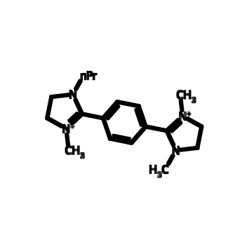 CCCN1CC[N+](C)=C1c1ccc(C2=[N+](C)CCN2C)cc1